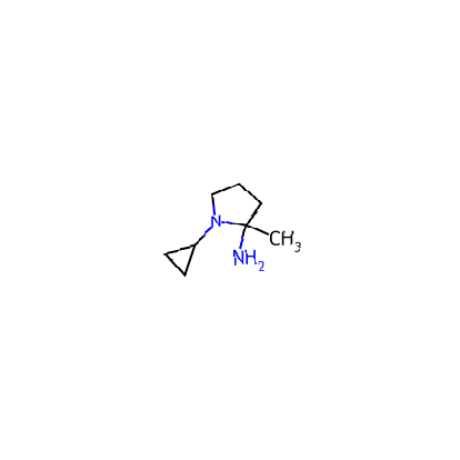 CC1(N)CCCN1C1CC1